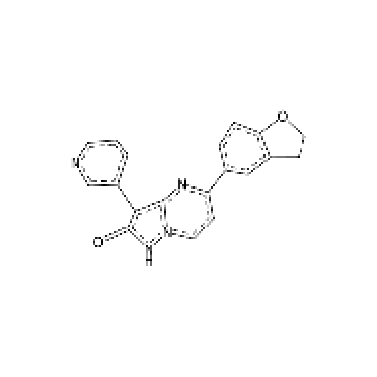 O=c1[nH]n2ccc(-c3ccc4c(c3)CCO4)nc2c1-c1cccnc1